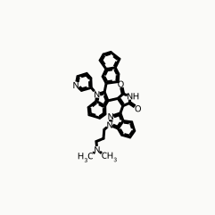 CN(C)CCCn1nc(C2=C(c3c(-c4ccc5ccccc5c4)n(-c4cccnc4)c4ccccc34)C(=O)NC2=O)c2ccccc21